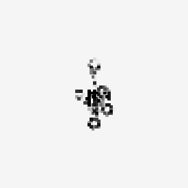 O=C(c1ccccc1)c1ccccc1Nc1nccc(CCCN2CCCCC2)c1[N+](=O)[O-]